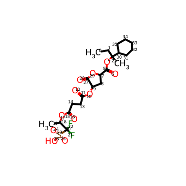 CCC(C)(OC(=O)C1CC(OC(=O)CCC(=O)OC(C)C(F)(F)S(=O)(=O)O)C(=O)O1)C1CCCCC1